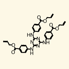 C=CCOC(=O)c1ccc(Nc2nc(Nc3ccc(C(=O)OCC=C)cc3)nc(Nc3ccc(C(=O)OCC=C)cc3)n2)cc1